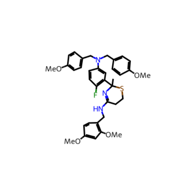 COc1ccc(CN(Cc2ccc(OC)cc2)c2ccc(F)c(C3(C)N=C(NCc4ccc(OC)cc4OC)CCS3)c2)cc1